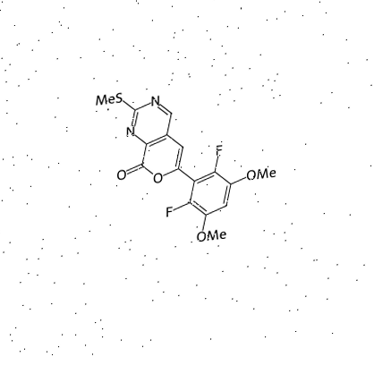 COc1cc(OC)c(F)c(-c2cc3cnc(SC)nc3c(=O)o2)c1F